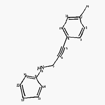 Cc1ccc(C#CCNc2ccccc2)cc1